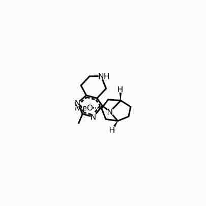 CO[C@H]1C[C@H]2CC[C@@H](C1)N2c1nc(C)nc2c1CNCC2